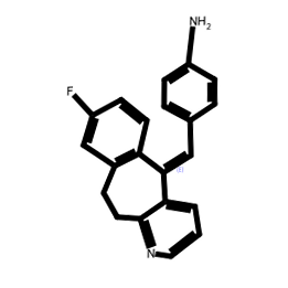 Nc1ccc(/C=C2\c3ccc(F)cc3CCc3ncccc32)cc1